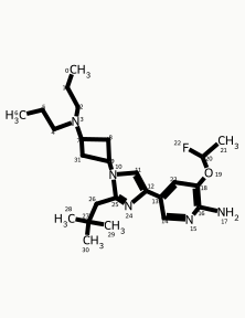 CCCN(CCC)C1CC(n2cc(-c3cnc(N)c(OC(C)F)c3)nc2CC(C)(C)C)C1